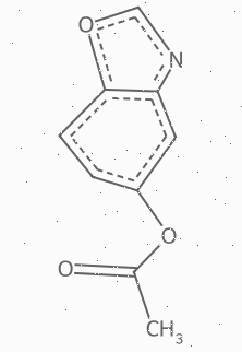 CC(=O)Oc1ccc2ocnc2c1